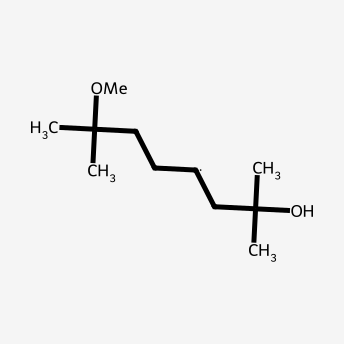 COC(C)(C)CC[CH]CC(C)(C)O